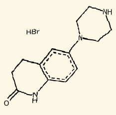 Br.O=C1CCc2cc(N3CCNCC3)ccc2N1